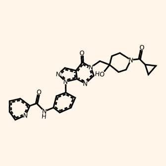 O=C(Nc1cccc(-n2ncc3c(=O)n(CC4(O)CCN(C(=O)C5CC5)CC4)cnc32)c1)c1ccccn1